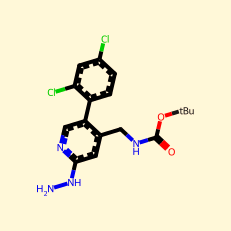 CC(C)(C)OC(=O)NCc1cc(NN)ncc1-c1ccc(Cl)cc1Cl